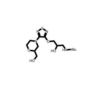 CC(C)(C)NCC(O)COc1nsnc1N1CCOC(CO)C1